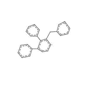 [c]1ccc(-c2ccccc2)c(-c2ccccc2)c1Cc1ccccc1